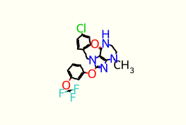 CN1CCNC(=O)c2c1nc(Oc1cccc(OC(F)(F)F)c1)n2Cc1ccc(Cl)cc1